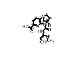 C=N/C(=C\C)NC(=O)N1c2nc(C(=O)O)ccc2N2CC[C@H]1C2